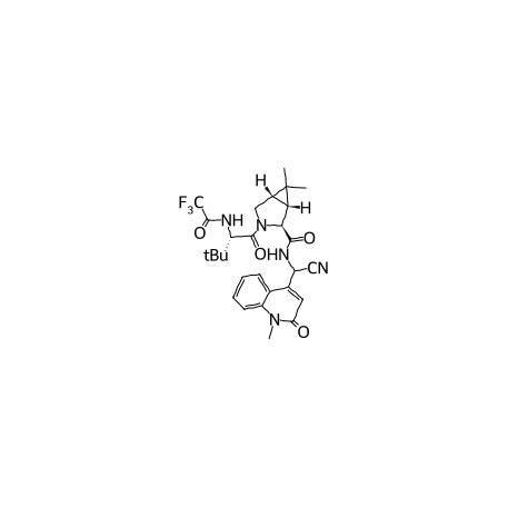 Cn1c(=O)cc(C(C#N)NC(=O)[C@@H]2[C@@H]3[C@H](CN2C(=O)[C@@H](NC(=O)C(F)(F)F)C(C)(C)C)C3(C)C)c2ccccc21